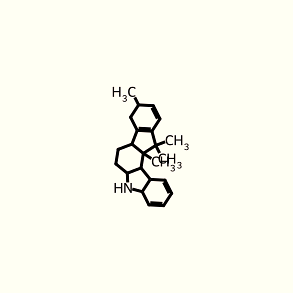 CC1C=CC2=C(C1)C1CCC3NC4C=CC=CC4C3C1(C)C2(C)C